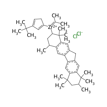 C[C](C)=[Zr+2]([C]1=CC(C(C)(C)C)=CC1)[CH]1CC(C)c2cc3c(cc2C1(C)C)Cc1cc2c(cc1-3)C(C)(C)CC(C)C2(C)C.[Cl-].[Cl-]